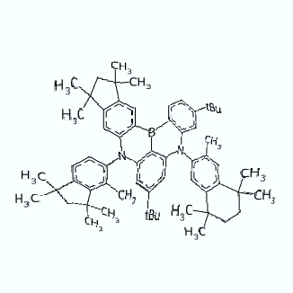 Cc1cc2c(cc1N1c3cc(C(C)(C)C)ccc3B3c4cc5c(cc4N(c4ccc6c(c4C)C(C)(C)CC6(C)C)c4cc(C(C)(C)C)cc1c43)C(C)(C)CC5(C)C)C(C)(C)CCC2(C)C